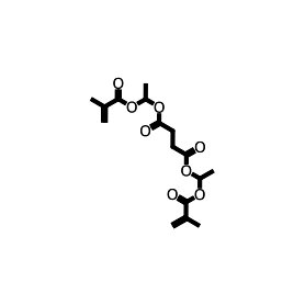 C=C(C)C(=O)OC(C)OC(=O)CCC(=O)OC(C)OC(=O)C(=C)C